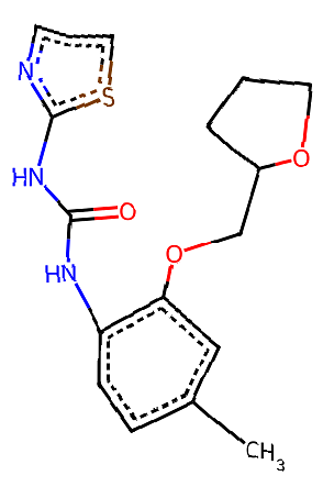 Cc1ccc(NC(=O)Nc2nccs2)c(OCC2CCCO2)c1